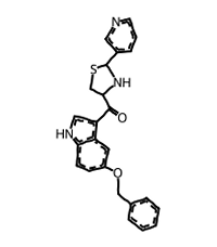 O=C(c1c[nH]c2ccc(OCc3ccccc3)cc12)C1CSC(c2cccnc2)N1